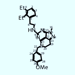 CCc1cccc(CCNc2nc3c4c(nn(C)c4n2)CCN3Cc2ccc(OC)cc2)c1CC